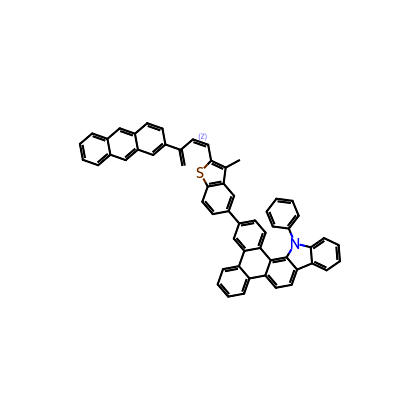 C=C(/C=C\c1sc2ccc(-c3ccc4c(c3)c3ccccc3c3ccc5c6ccccc6n(-c6ccccc6)c5c34)cc2c1C)c1ccc2cc3ccccc3cc2c1